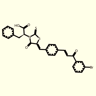 O=C(/C=C/c1ccc(/C=C2\SC(=S)N([C@@H](Cc3ccccc3)C(=O)O)C2=O)cc1)c1cccc(Br)c1